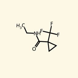 CCNC(=O)C1(C(F)(F)F)CC1